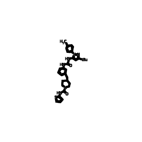 Cc1ccc(-n2nc(C(C)(C)C)cc2NC(=O)Nc2cccc(CC3CCN(C(=O)Nc4cccs4)CC3)c2)cc1